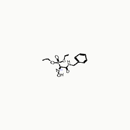 CCOP(=O)(OCC)/C(=N/O)C(=O)NCc1ccccc1